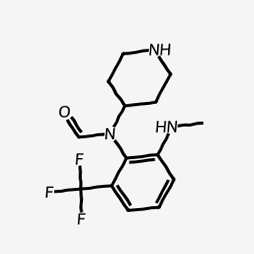 CNc1cccc(C(F)(F)F)c1N(C=O)C1CCNCC1